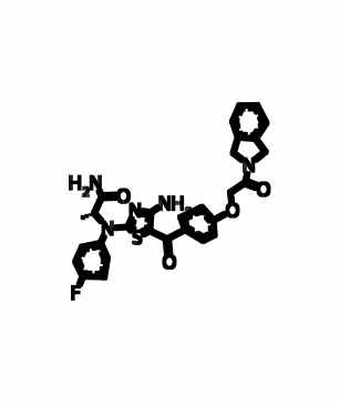 C[C@H](C(N)=O)N(c1ccc(F)cc1)c1nc(N)c(C(=O)c2ccc(OCC(=O)N3Cc4ccccc4C3)cc2)s1